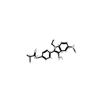 CCn1c(-c2ccc(NC(=O)C(C)C)cc2)c(N)c2cc(OC)ccc21